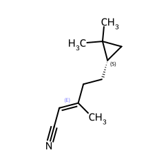 C/C(=C\C#N)CC[C@H]1CC1(C)C